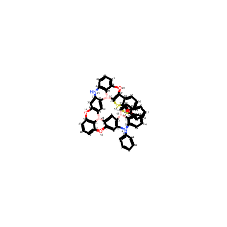 c1ccc(N2c3cc4c(cc3B3c5sc6ccccc6c5Oc5cccc2c53)B2c3cc5c(cc3Oc3cccc(c32)O4)Nc2cccc3c2B5c2sc4ccccc4c2O3)cc1